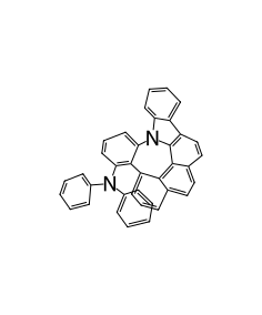 c1ccc(N(c2ccccc2)c2cccc3c2c2cccc4ccc5ccc6c7ccccc7n3c6c5c42)cc1